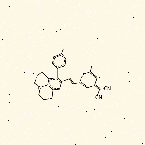 CC1=CC(=C(C#N)C#N)C=C(C=Cc2cc3c4c(c2-c2ccc(I)cc2)CCCN4CCC3)O1